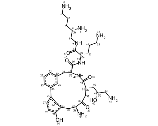 NCCC[C@H](N)CNC(=O)[C@H](CCCN)NC(=O)[C@@H]1Cc2cccc(c2)-c2ccc(O)c(c2)C[C@H](N)C(=O)C[C@@H](C[C@@H](O)CN)C(=O)N1